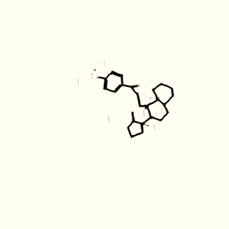 CN(C)c1ccc(C2O[C@@H]2[C@H]2C[C@]3(C)CCC[C@H]3[C@@H]3CCC4CCCC[C@@H]4[C@H]32)cc1